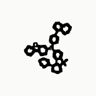 CC1(C)c2ccc(N(c3ccc(-c4cccc5ccccc45)cc3)c3ccc4c(c3)oc3ccccc34)cc2-c2c(-c3ccccc3)cccc21